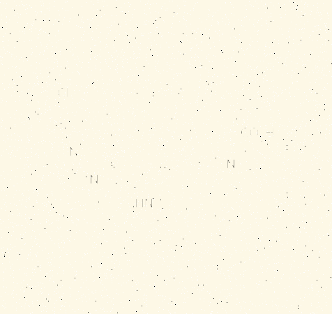 O=C(O)N1CCCC(Nc2ccc(Cl)nn2)C1